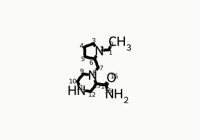 CCN1CCCC1CN1CCNCC1C(N)=O